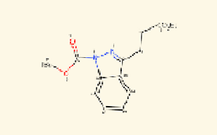 CCOC(=O)CCc1nn(C(=O)OC(C)(C)C)c2ccccc12